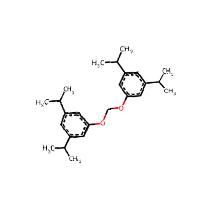 CC(C)c1cc(OCOc2cc(C(C)C)cc(C(C)C)c2)cc(C(C)C)c1